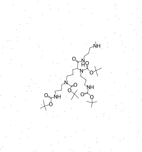 CNCCCNC(=O)C(CCCN(CCCNC(=O)OC(C)(C)C)C(=O)OC(C)(C)C)N(CCCNC(=O)OC(C)(C)C)C(=O)OC(C)(C)C